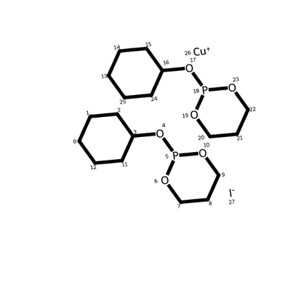 C1CCC(OP2OCCCO2)CC1.C1CCC(OP2OCCCO2)CC1.[Cu+].[I-]